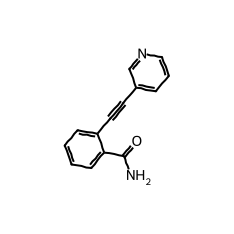 NC(=O)c1ccccc1C#Cc1cccnc1